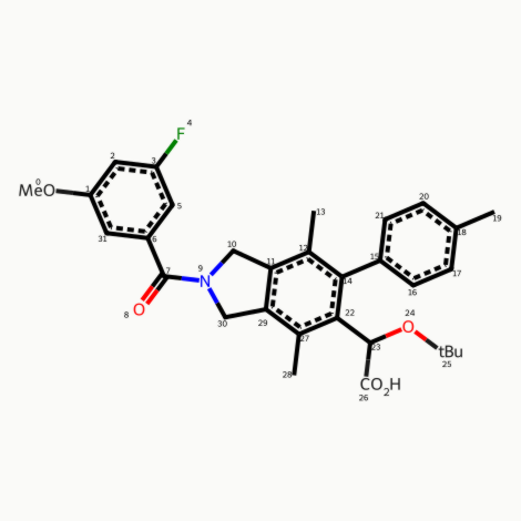 COc1cc(F)cc(C(=O)N2Cc3c(C)c(-c4ccc(C)cc4)c(C(OC(C)(C)C)C(=O)O)c(C)c3C2)c1